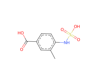 Cc1cc(C(=O)O)ccc1NS(=O)(=O)O